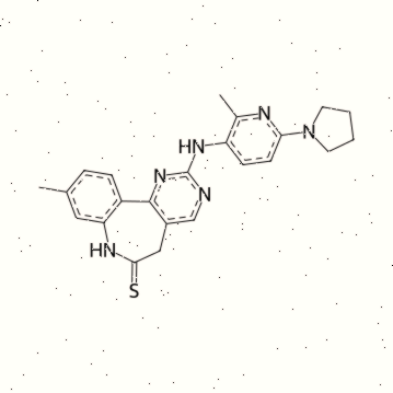 Cc1ccc2c(c1)NC(=S)Cc1cnc(Nc3ccc(N4CCCC4)nc3C)nc1-2